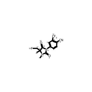 CN1C(=O)N(c2ccc(C#N)c(C(F)(F)F)c2)C(=O)C1(C)CF